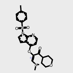 Cc1ccc(S(=O)(=O)n2ccc3c(O/C(=C/N(C)C)C(=O)C4CCOCC4)ccnc32)cc1